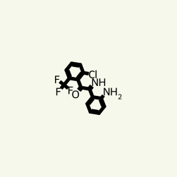 N=C(C(=O)c1c(Cl)cccc1C(F)(F)F)c1ccccc1N